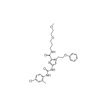 COCCOCCCNC(=O)c1nc(NC(=O)Nc2ccc(Cl)cc2C)cn1CCOc1ccccc1